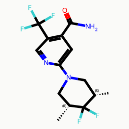 C[C@@H]1CN(c2cc(C(N)=O)c(C(F)(F)F)cn2)C[C@H](C)C1(F)F